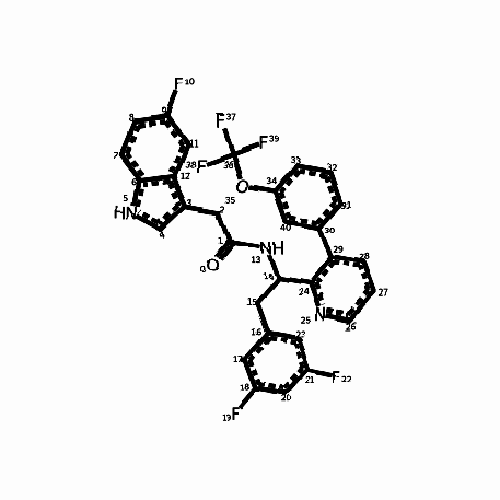 O=C(Cc1c[nH]c2ccc(F)cc12)NC(Cc1cc(F)cc(F)c1)c1ncccc1-c1cccc(OC(F)(F)F)c1